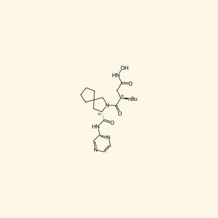 CCCC[C@H](CC(=O)NO)C(=O)N1CC2(CCCC2)C[C@H]1C(=O)Nc1cnccn1